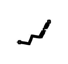 [O]CCC=C=O